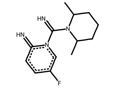 CC1CCCC(C)N1C(=N)n1cc(F)ccc1=N